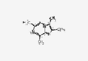 Cc1cn2c(C)c(C)nc2c(C)n1